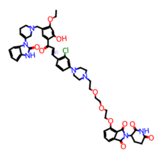 CCOc1cc(O)c(C(=O)/C=C/c2ccc(N3CCN(CCOCCOCCOc4cccc5c4C(=O)N(C4CCC(=O)NC4=O)C5=O)CC3)cc2Cl)cc1CN1CCC=C(n2c(=O)[nH]c3ccccc32)C1